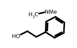 CNC.OCCc1ccccc1